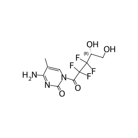 Cc1cn(C(=O)C(F)(F)C(F)(F)[C@H](O)CO)c(=O)nc1N